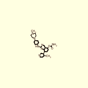 Cc1ccncc1-c1ccc(OC(N)=O)c2cnc(Nc3ccc(N4CCN(C)CC4)cc3)nc12